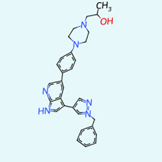 CC(O)CN1CCN(c2ccc(-c3cnc4[nH]cc(-c5cnn(Cc6ccccc6)c5)c4c3)cc2)CC1